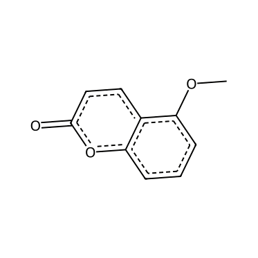 COc1cccc2oc(=O)ccc12